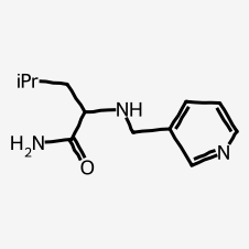 CC(C)CC(NCc1cccnc1)C(N)=O